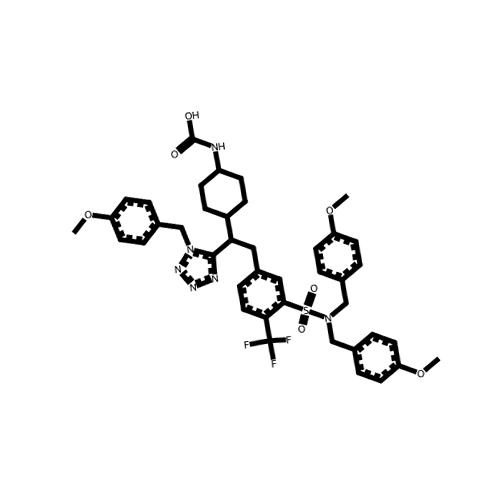 COc1ccc(CN(Cc2ccc(OC)cc2)S(=O)(=O)c2cc(CC(c3nnnn3Cc3ccc(OC)cc3)C3CCC(NC(=O)O)CC3)ccc2C(F)(F)F)cc1